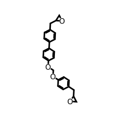 c1cc(OCOc2ccc(-c3ccc(CC4CO4)cc3)cc2)ccc1CC1CO1